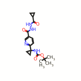 CC(C)(C)OC(=O)NC1(c2ccc(C(=O)NNC(=O)C3CC3)cn2)CC1